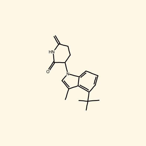 C=C1CCC(n2cc(C)c3c(C(C)(C)C)cccc32)C(=O)N1